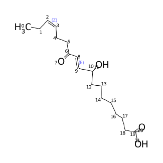 CC/C=C\CCC(=O)/C=C/C(O)CCCCCCCC(=O)O